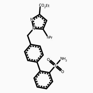 CCCc1cc(C(=O)OCC)nn1Cc1ccc(-c2ccccc2S(N)(=O)=O)cc1